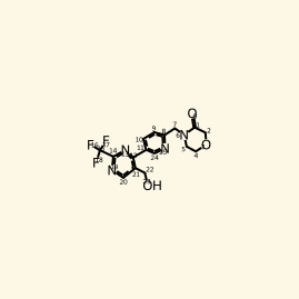 O=C1COCCN1Cc1ccc(-c2nc(C(F)(F)F)ncc2CO)cn1